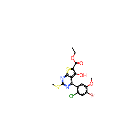 CCOC(=O)c1sc2nc(SC)nc(-c3cc(OC)c(Br)cc3Cl)c2c1O